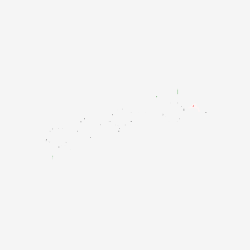 CCOc1ccc(CCc2ccc(C3CCC(c4ccc(C)c(F)c4F)CC3)c(F)c2F)c(F)c1F